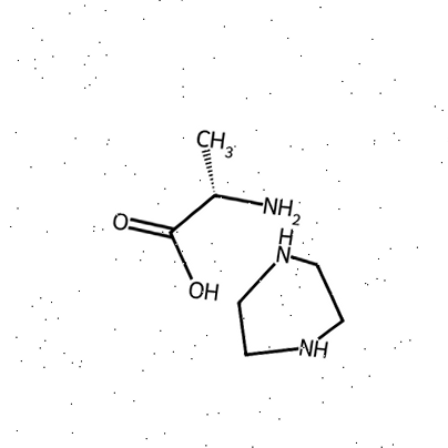 C1CNCCN1.C[C@H](N)C(=O)O